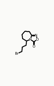 O=c1onc2n1C(CCCBr)CCCC2